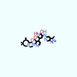 C=C1/C=C2/C(=O)N(c3nccc(-c4cc(Nc5cc6c(C)n(C)nc6cn5)c(=O)n(C)c4)c3CO)CCN2CCC(C)(C)C1